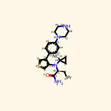 CC(C)C[C@@H](C(N)=O)N(c1cscc1-c1ccc(N2CCNCC2)cc1)C1(C#N)CC1